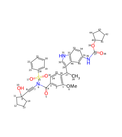 COc1cc(C(=O)N(C#CC2(O)CCCC2)S(=O)(=O)c2ccccc2)ccc1C(C)c1c[nH]c2ccc(NC(=O)OC3CCCC3)cc12